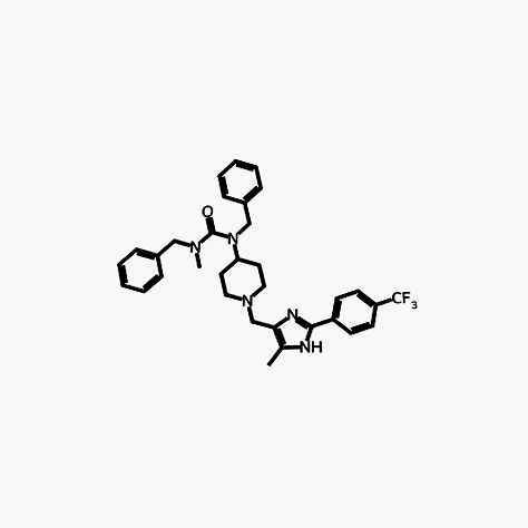 Cc1[nH]c(-c2ccc(C(F)(F)F)cc2)nc1CN1CCC(N(Cc2ccccc2)C(=O)N(C)Cc2ccccc2)CC1